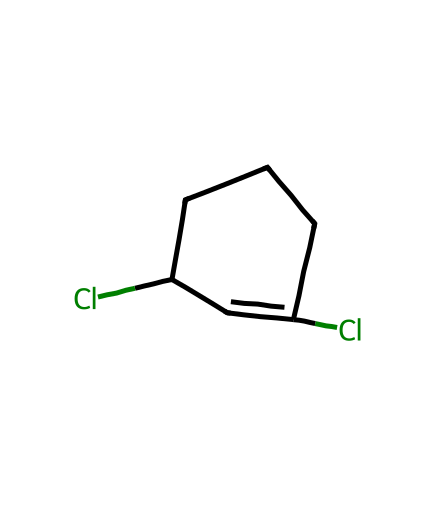 ClC1=CC(Cl)CCC1